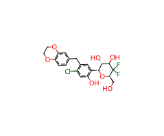 OC[C@H]1O[C@@H](c2cc(Cc3ccc4c(c3)OCCO4)c(Cl)cc2O)[C@H](O)[C@@H](O)C1(F)F